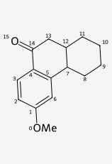 COc1ccc2c(c1)C1CCCCC1CC2=O